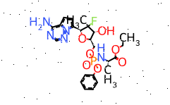 CCOC(=O)[C@H](C)NP(=O)(OC[C@H]1O[C@@H](c2ccc3c(N)ncnn23)[C@](C)(F)[C@@H]1O)Oc1ccccc1